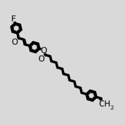 C=Cc1ccc(CCCCCCCCCCCCC(=O)Oc2ccc(C=CC(=O)c3ccc(F)cc3)cc2)cc1